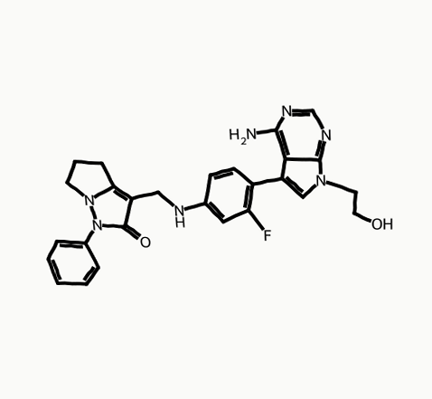 Nc1ncnc2c1c(-c1ccc(NCc3c4n(n(-c5ccccc5)c3=O)CCC4)cc1F)cn2CCO